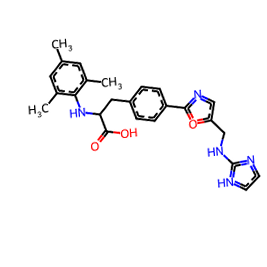 Cc1cc(C)c(NC(Cc2ccc(-c3ncc(CNc4ncc[nH]4)o3)cc2)C(=O)O)c(C)c1